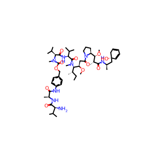 CC[C@H](C)[C@@H]([C@@H](CC(=O)N1CCC[C@H]1[C@H](OC)[C@@H](C)C(=O)N[C@H](C)C[C@]1(O)C=CC=CC1)OC)N(C)C(=O)[C@@H](NC(=O)[C@H](C(C)C)N(C)C(=O)OCc1ccc(NC(=O)[C@H](C)NC(=O)[C@@H](N)C(C)C)cc1)C(C)C